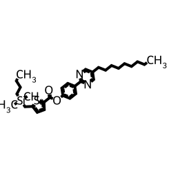 CCCCCCCCCc1cnc(-c2ccc(OC(=O)c3ccc(C[Si](C)(C)CCCC)s3)cc2)nc1